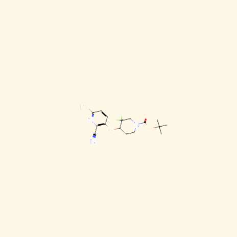 CC(C)(C)OC(=O)N1CCC(Oc2ccc(Br)nc2C#N)C(F)(F)C1